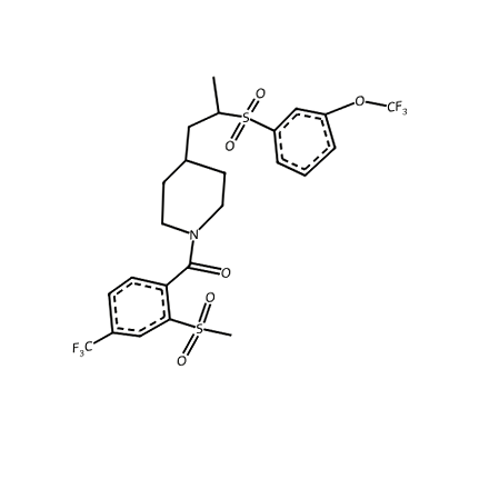 CC(CC1CCN(C(=O)c2ccc(C(F)(F)F)cc2S(C)(=O)=O)CC1)S(=O)(=O)c1cccc(OC(F)(F)F)c1